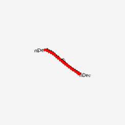 CCCCCCCCCCCCCCCCCCCCCCCCCCCCC(=O)CCCCCCCCCCCCCCCCCCCCCCCCCCCC